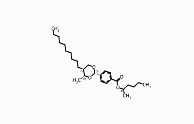 CCCCCCCCCC[C@H]1CO[C@H](c2ccc(C(=O)O[C@H](C)CCCC)cc2)O[C@@H]1C